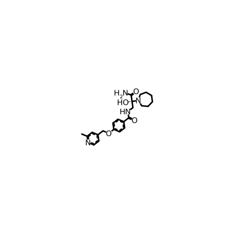 Cc1cc(COc2ccc(C(=O)NC[C@@](O)(C(N)=O)N3CCCCCC3)cc2)ccn1